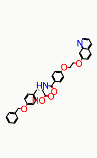 O=C(N[C@@H](Cc1ccc(OCc2ccccc2)cc1)C(=O)O)c1ccc(OCCOc2ccc3cccnc3c2)cc1